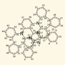 c1ccc(-c2nc(-c3ccccc3)nc(-c3c(N4c5ccccc5-c5ccccc5-c5ccccc54)cccc3N3c4ccccc4-c4ccccc4-c4ccccc43)n2)cc1